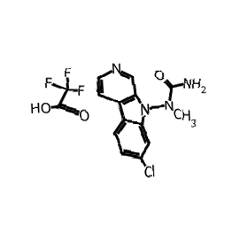 CN(C(N)=O)n1c2cnccc2c2ccc(Cl)cc21.O=C(O)C(F)(F)F